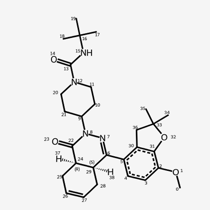 COc1ccc(C2=NN(C3CCN(C(=O)NC(C)(C)C)CC3)C(=O)[C@@H]3CC=CC[C@H]23)c2c1OC(C)(C)C2